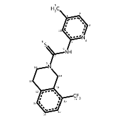 Cc1ccnc(NC(=S)N2CCc3cccc(C(F)(F)F)c3C2)c1